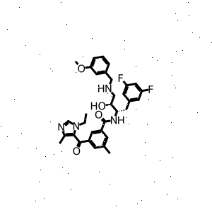 CCn1cnc(C)c1C(=O)c1cc(C)cc(C(=O)N[C@@H](Cc2cc(F)cc(F)c2)[C@@H](O)CNCc2cccc(OC)c2)c1